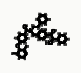 Cc1cccc(C)c1Oc1ccc(C(=O)N(CCc2ccccc2)Cc2ccc(C(=O)C(O)c3ccccc3)cc2)cc1